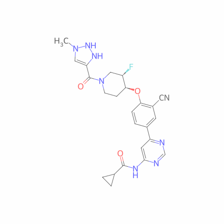 CN1C=C(C(=O)N2CC[C@H](Oc3ccc(-c4cc(NC(=O)C5CC5)ncn4)cc3C#N)[C@H](F)C2)NN1